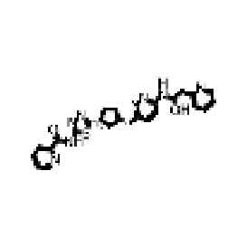 O=C(Nc1nnc([C@@H]2CC[C@H](Cc3ccc(NC(O)Cc4ccccn4)nn3)C2)s1)c1ccccn1